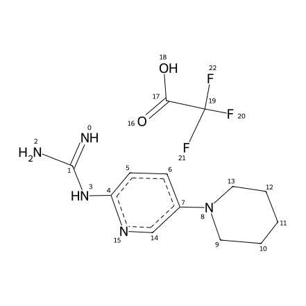 N=C(N)Nc1ccc(N2CCCCC2)cn1.O=C(O)C(F)(F)F